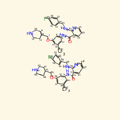 O=C(Nc1cc(OCC2CCNCC2)cc(C(F)(F)F)c1)c1cccnc1NCc1ccc(F)cc1.O=C(Nc1cc(OCC2CCNCC2)cc(C(F)(F)F)c1)c1cccnc1NCc1ccc(F)cc1